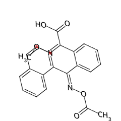 COC=C(C(=O)O)c1ccccc1C(=NOC(C)=O)c1nccc2ccccc12